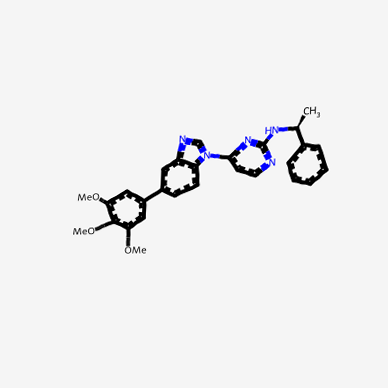 COc1cc(-c2ccc3c(c2)ncn3-c2ccnc(N[C@@H](C)c3ccccc3)n2)cc(OC)c1OC